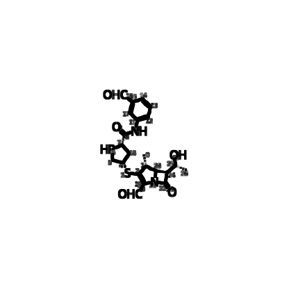 C[C@H]1C(S[C@@H]2CP[C@H](C(=O)Nc3cccc(C=O)c3)C2)=C(C=O)N2C(=O)[C@H]([C@@H](C)O)C12